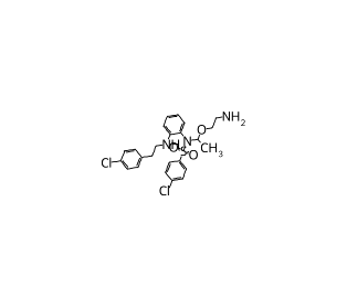 CC(OCCN)N(c1ccccc1NCCc1ccc(Cl)cc1)S(=O)(=O)c1ccc(Cl)cc1